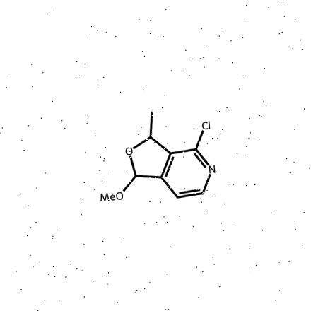 COC1OC(C)c2c1ccnc2Cl